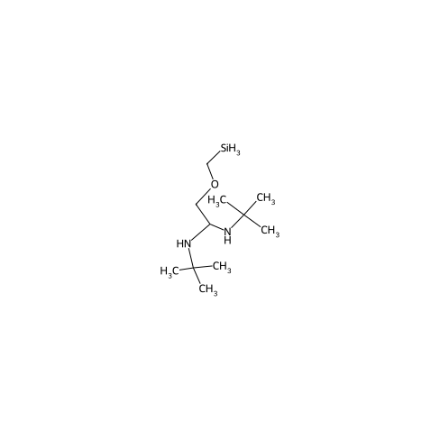 CC(C)(C)NC(COC[SiH3])NC(C)(C)C